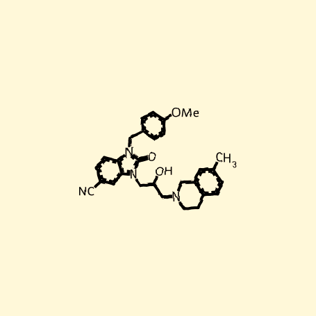 COc1ccc(Cn2c(=O)n(CC(O)CN3CCc4ccc(C)cc4C3)c3cc(C#N)ccc32)cc1